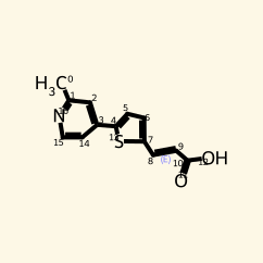 Cc1cc(-c2ccc(/C=C/C(=O)O)s2)ccn1